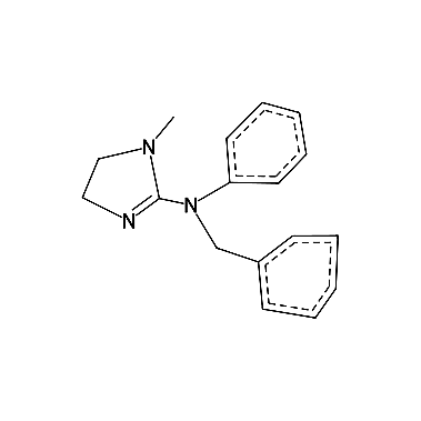 CN1CCN=C1N(Cc1ccccc1)c1ccccc1